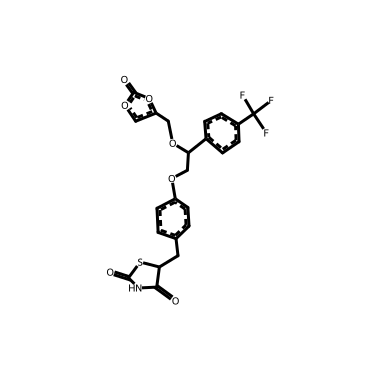 O=C1NC(=O)C(Cc2ccc(OCC(OCc3coc(=O)o3)c3ccc(C(F)(F)F)cc3)cc2)S1